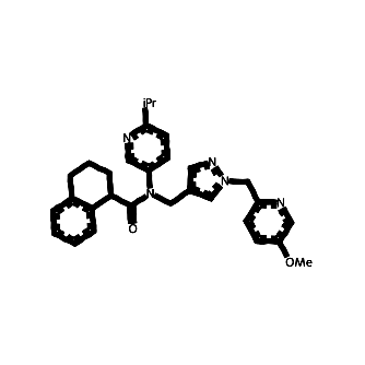 COc1ccc(Cn2cc(CN(C(=O)C3CCCc4ccccc43)c3ccc(C(C)C)nc3)cn2)nc1